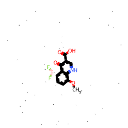 COc1cccc2c(=O)c(C(=O)O)c[nH]c12.F[B]F